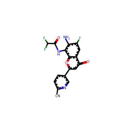 N#Cc1ccc(-c2cc(=O)c3cc(F)c(N)c(NC(=O)C(F)F)c3o2)cn1